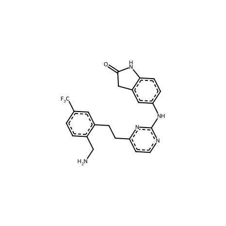 NCc1ccc(C(F)(F)F)cc1CCc1ccnc(Nc2ccc3c(c2)CC(=O)N3)n1